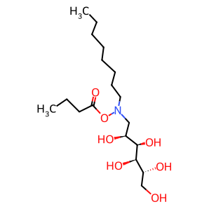 CCCCCCCCN(C[C@H](O)[C@@H](O)[C@H](O)[C@H](O)CO)OC(=O)CCC